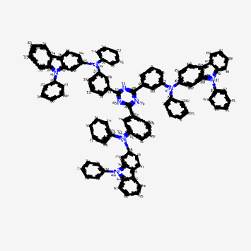 c1ccc(N(c2cccc(-c3nc(-c4cccc(N(c5ccccc5)c5ccc6c7ccccc7n(-c7ccccc7)c6c5)c4)nc(-c4cccc(N(c5ccccc5)c5ccc6c7ccccc7n(-c7ccccc7)c6c5)c4)n3)c2)c2ccc3c4ccccc4n(-c4ccccc4)c3c2)cc1